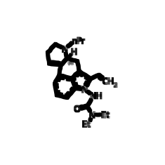 C=Cc1c2c3c(cccc3n1NC(=O)N(CC)CC)C1=CCCN(CCC)[C@@H]1C2